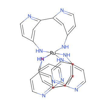 c1cc2cc(n1)-c1cc(ccn1)[NH][Ru]13([NH]2)([NH]c2ccnc(c2)-c2cc(ccn2)[NH]1)[NH]c1ccnc(c1)-c1cc(ccn1)[NH]3